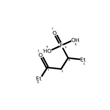 CCC(=O)CC(CC)P(=O)(O)O